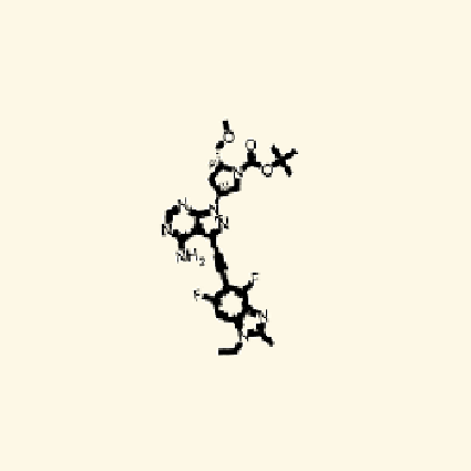 CCn1c(C)nc2c(F)c(C#Cc3nn([C@H]4C[C@H](COC)N(C(=O)OC(C)(C)C)C4)c4ncnc(N)c34)c(F)cc21